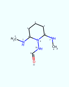 CNC1CCCC(NC)N1NC=O